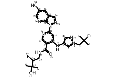 CC(C)(F)Cn1cc(Nc2cc(-n3ncc4cc(C#N)cnc43)ncc2C(=O)NCC(F)C(C)(C)O)cn1